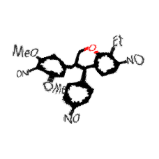 CCc1c(N=O)ccc2c1OCC(c1cc(OC)c(N=O)c(OC)c1)C2c1ccc(N=O)cc1